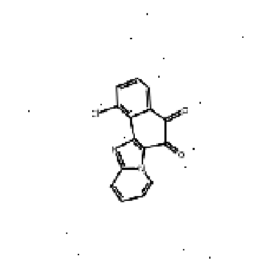 O=C1C(=O)c2c(nc3ccccn23)-c2c(Cl)cccc21